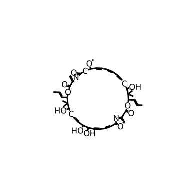 C/C=C/C1OC(=O)c2coc(n2)/C=C\C=C/C(O)C(O)/C=C\CC(O)C(C)(C)C(/C=C/C)OC(=O)c2coc(n2)CC(OC)\C=C/C=C\C=C/CC(O)C1(C)C